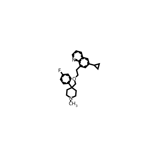 CN1CCC(COCCc2cc(C3CC3)cc3cccnc23)(c2ccc(F)cc2)CC1